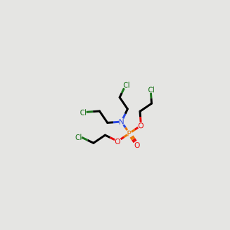 O=P(OCCCl)(OCCCl)N(CCCl)CCCl